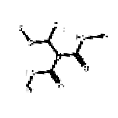 CC(C)NC(=O)N(C(=O)NC(C)C)C(C)SS